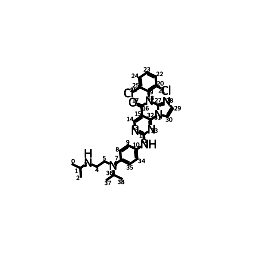 CC(C)NCCN(c1ccc(Nc2ncc3c(=O)n(-c4c(Cl)cccc4Cl)c4nccn4c3n2)cc1)C(C)C